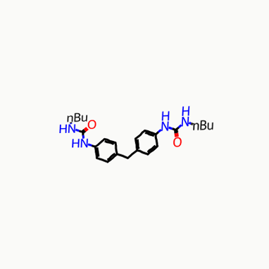 CCCCNC(=O)Nc1ccc(Cc2ccc(NC(=O)NCCCC)cc2)cc1